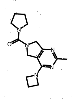 Cc1nc2c(c(N3CCC3)n1)CN(C(=O)N1CCCC1)C2